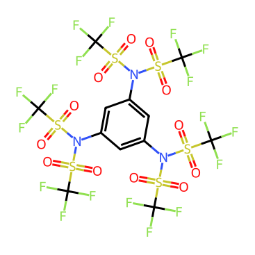 O=S(=O)(N(c1cc(N(S(=O)(=O)C(F)(F)F)S(=O)(=O)C(F)(F)F)cc(N(S(=O)(=O)C(F)(F)F)S(=O)(=O)C(F)(F)F)c1)S(=O)(=O)C(F)(F)F)C(F)(F)F